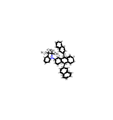 CC1(C)c2ccccc2N(c2ccc3c(-c4ccc5ccccc5c4)c4ccccc4c(-c4ccc5ccccc5c4)c3c2)C1(C)C